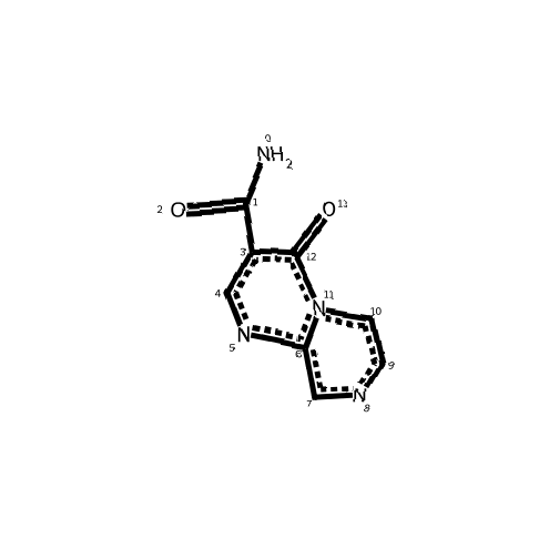 NC(=O)c1cnc2cnccn2c1=O